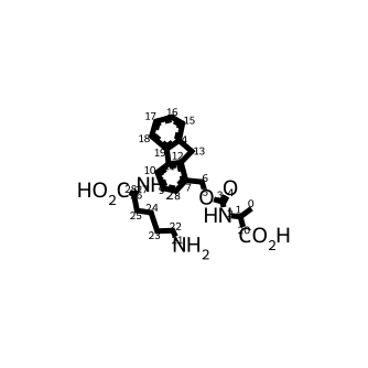 CC(NC(=O)OCc1cccc2c1Cc1ccccc1-2)C(=O)O.NCCCCC(N)C(=O)O